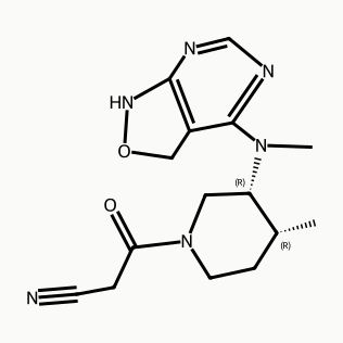 C[C@@H]1CCN(C(=O)CC#N)C[C@@H]1N(C)c1ncnc2c1CON2